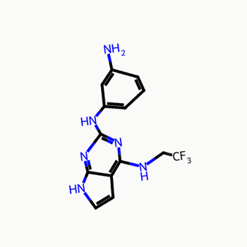 Nc1cccc(Nc2nc(NCC(F)(F)F)c3cc[nH]c3n2)c1